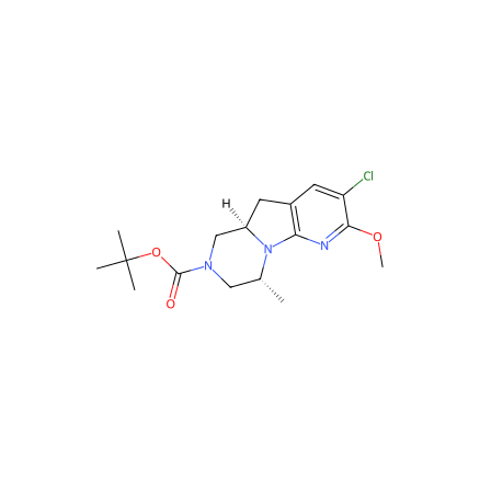 COc1nc2c(cc1Cl)C[C@@H]1CN(C(=O)OC(C)(C)C)C[C@@H](C)N21